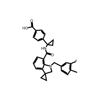 Cc1ccc(CN2CC3(CC3)c3cccc(C(=O)NC4(c5ccc(C(=O)O)cc5)CC4)c32)cc1F